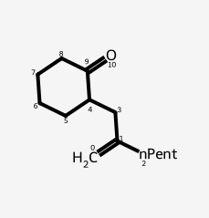 C=C(CCCCC)CC1CCCCC1=O